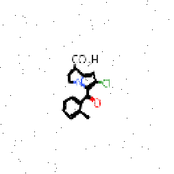 Cc1ccccc1C(=O)c1c(Cl)cc2n1CCC2C(=O)O